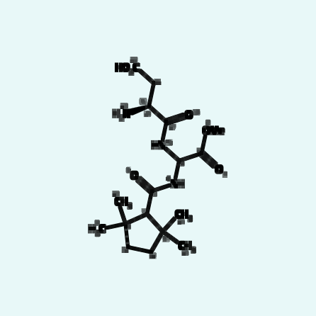 COC(=O)C(NC(=O)C1C(C)(C)CCC1(C)C)NC(=O)[C@@H](N)CC(=O)O